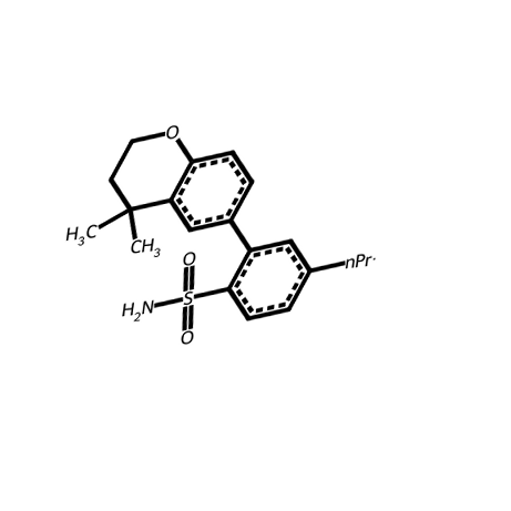 CC[CH]c1ccc(S(N)(=O)=O)c(-c2ccc3c(c2)C(C)(C)CCO3)c1